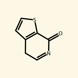 O=C1N=CCc2ccsc21